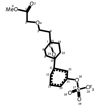 COC(=O)COCCC12CCC(c3cccc(OS(=O)(=O)C(F)(F)F)c3)(CC1)OC2